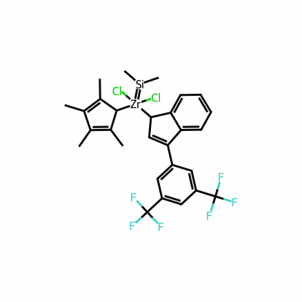 CC1=C(C)[CH]([Zr]([Cl])([Cl])([CH]2C=C(c3cc(C(F)(F)F)cc(C(F)(F)F)c3)c3ccccc32)=[Si](C)C)C(C)=C1C